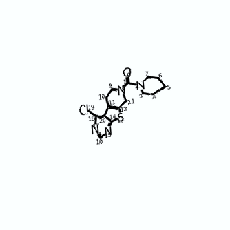 O=C(N1CCCCC1)N1CCc2c(sc3ncnc(Cl)c23)C1